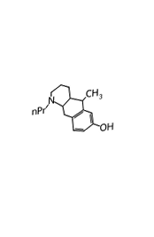 CCCN1CCCC2C(C)c3cc(O)ccc3CC21